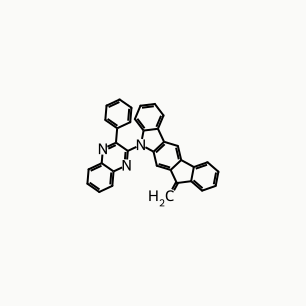 C=C1c2ccccc2-c2cc3c4ccccc4n(-c4nc5ccccc5nc4-c4ccccc4)c3cc21